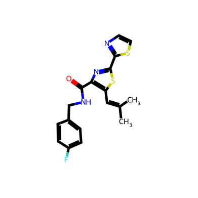 CC(C)=Cc1sc(-c2nccs2)nc1C(=O)NCc1ccc(F)cc1